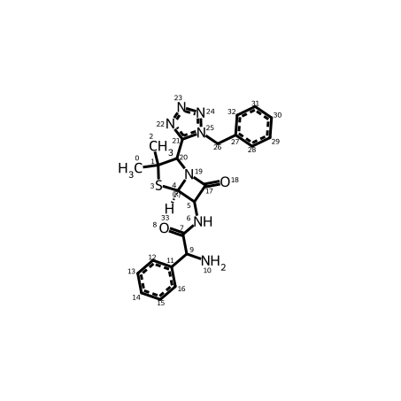 CC1(C)S[C@@H]2C(NC(=O)C(N)c3ccccc3)C(=O)N2C1c1nnnn1Cc1ccccc1